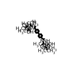 CC(C)[C@@H](C(=O)N[C@@H](c1nc(-c2ccc(-c3ccc(-c4c[nH]c([C@H](NC(=O)[C@H](C(C)C)N(C)C(=O)O)C(C)C)n4)cc3)cc2)c[nH]1)C(C)C)N(C)C(=O)O